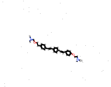 CCN(C)CCOc1ccc(C#Cc2ccc(C#Cc3ccc(CCOCN(C)C)cc3)cc2)cc1